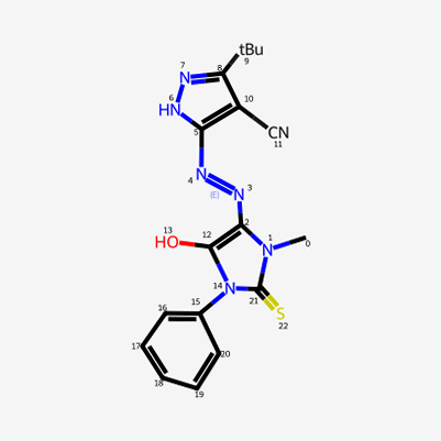 Cn1c(/N=N/c2[nH]nc(C(C)(C)C)c2C#N)c(O)n(-c2ccccc2)c1=S